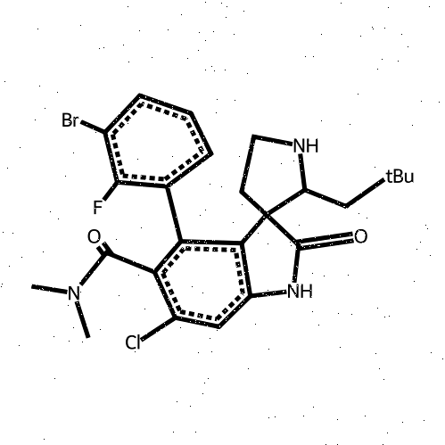 CN(C)C(=O)c1c(Cl)cc2c(c1-c1cccc(Br)c1F)C1(CCNC1CC(C)(C)C)C(=O)N2